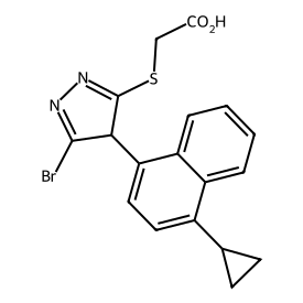 O=C(O)CSC1=NN=C(Br)C1c1ccc(C2CC2)c2ccccc12